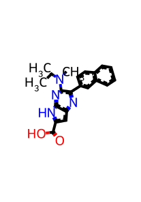 CC(C)N(C)c1nc2[nH]c(C(=O)O)cc2nc1-c1ccc2ccccc2c1